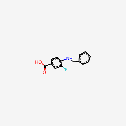 O=C(O)c1ccc(NCc2ccccc2)c(F)c1